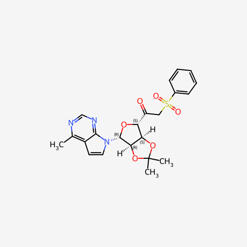 Cc1ncnc2c1ccn2[C@@H]1O[C@H](C(=O)CS(=O)(=O)c2ccccc2)[C@H]2OC(C)(C)O[C@H]21